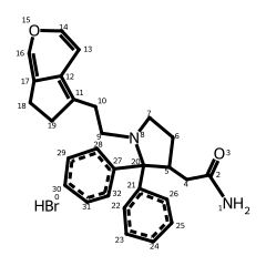 Br.NC(=O)CC1CCN(CCC2=C3C=COC=C3CC2)C1(c1ccccc1)c1ccccc1